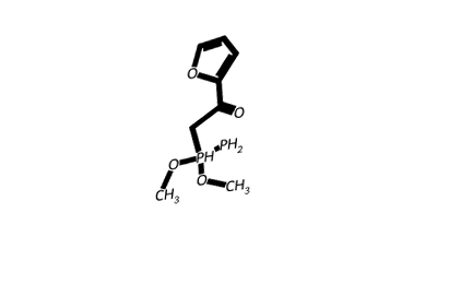 CO[PH](P)(CC(=O)c1ccco1)OC